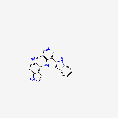 N#Cc1cncc(-c2cc3ccccc3[nH]2)c1Nc1cccc2[nH]ccc12